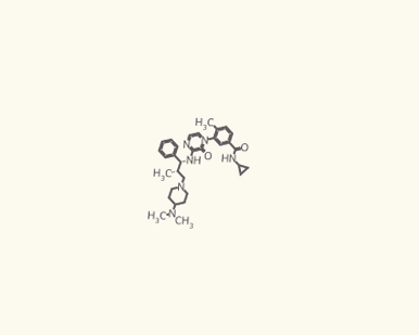 Cc1ccc(C(=O)NC2CC2)cc1-n1ccnc(N[C@@H](c2ccccc2)[C@@H](C)CN2CCC(N(C)C)CC2)c1=O